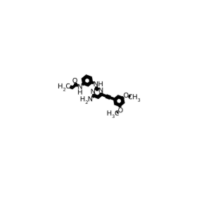 C=CC(=O)Nc1cccc(Nc2nc(N)cc(C#Cc3cc(OC)cc(OC)c3)n2)c1